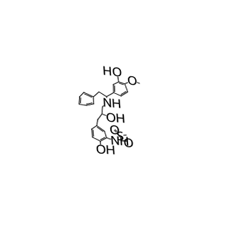 COc1ccc(C(Cc2ccccc2)NCC(O)Cc2ccc(O)c(NS(C)(=O)=O)c2)cc1O